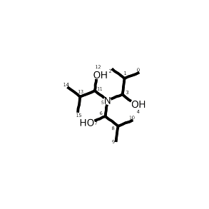 CC(C)C(O)N(C(O)C(C)C)C(O)C(C)C